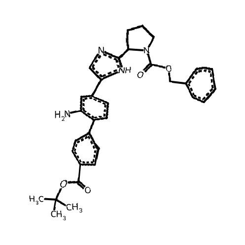 CC(C)(C)OC(=O)c1ccc(-c2ccc(-c3cnc(C4CCCN4C(=O)OCc4ccccc4)[nH]3)cc2N)cc1